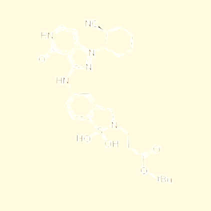 CC(C)(C)OC(=O)CCN1Cc2cc(Nc3nn([C@H]4CCCC[C@@H]4C#N)c4cc[nH]c(=O)c34)ccc2S1(O)O